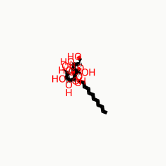 CCCCCCCCCCCC(=O)O[C@@]1([C@@]2(CO)O[C@H](CO)[C@@H](O)[C@@H]2O)O[C@H](CO)[C@@H](O)[C@H](O)[C@H]1O